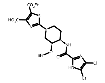 CCCO[C@H]1CN(c2nc(C(=O)O)c(C(=O)OCC)s2)CC[C@H]1NC(=O)c1nc(Cl)c(CC)[nH]1